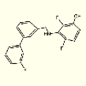 Oc1ccc(F)c(NCc2cccc(-c3cccc(F)c3)c2)c1F